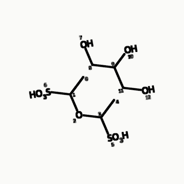 CC(OC(C)S(=O)(=O)O)S(=O)(=O)O.OCC(O)CO